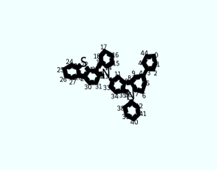 c1ccc(-c2ccc3c(c2)c2cc(-n4c5ccccc5c5c6sc7ccccc7c6ccc54)ccc2n3-c2ccccc2)cc1